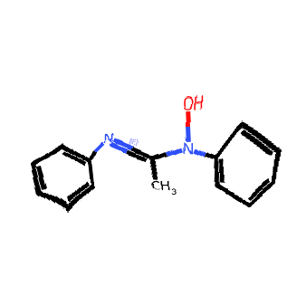 C/C(=N\c1ccccc1)N(O)c1ccccc1